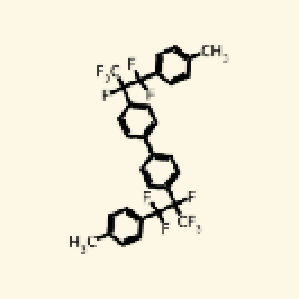 Cc1ccc(C(F)(F)C(F)(c2ccc(-c3ccc(C(F)(C(F)(F)F)C(F)(F)c4ccc(C)cc4)cc3)cc2)C(F)(F)F)cc1